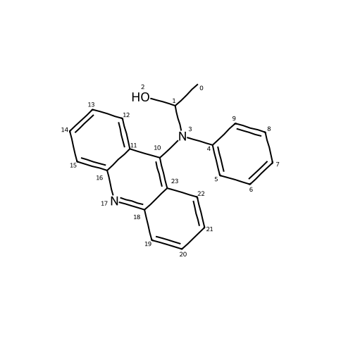 CC(O)N(c1ccccc1)c1c2ccccc2nc2ccccc12